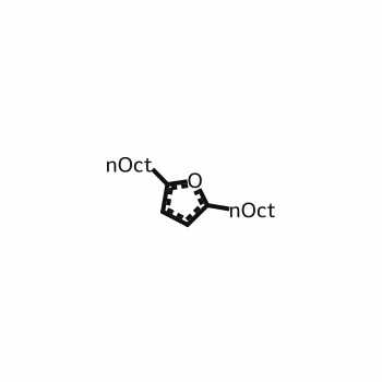 CCCCCCCCc1ccc(CCCCCCCC)o1